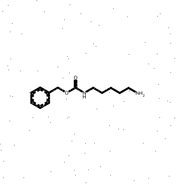 N[CH]CCCCNC(=O)OCc1ccccc1